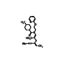 C/C=C(/C#CC(C)(C)C)S/C(=C/N(CCOc1ccccn1)C(=O)C1CCC(C)CC1)C(=O)O